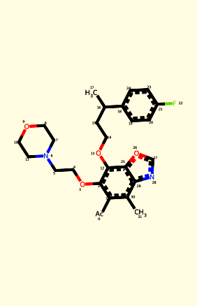 CC(=O)c1c(OCCN2CCOCC2)c(OCCC(C)c2ccc(F)cc2)c2ocnc2c1C